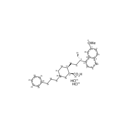 COc1ccc2nccc([C@@H](F)CC[C@@H]3CCN(CCCc4ccccc4)C[C@@H]3C(=O)O)c2c1.Cl.Cl